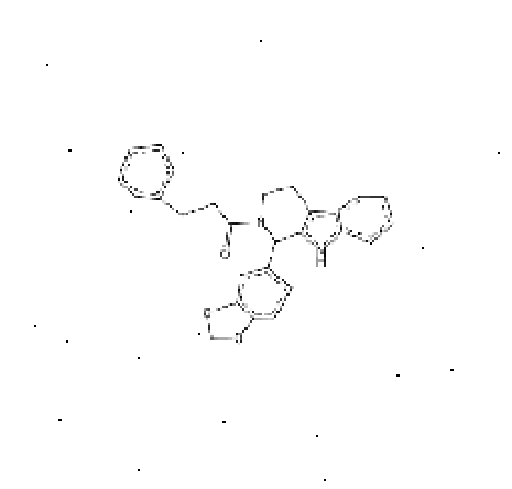 O=C(CCc1ccccc1)N1CCc2c([nH]c3ccccc23)C1c1ccc2c(c1)OCO2